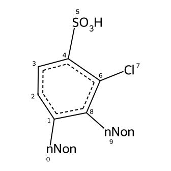 CCCCCCCCCc1ccc(S(=O)(=O)O)c(Cl)c1CCCCCCCCC